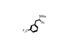 CN[C@@H](Cc1cccc(C(F)(F)F)c1)C(C)=O